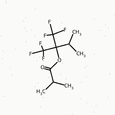 CC(C)C(=O)OC(C(C)C)(C(F)(F)F)C(F)(F)F